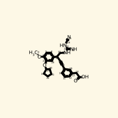 COc1ccc(C(C#Cc2cccc(CC(=O)O)c2)CNC(=N)NC#N)cc1OC1CCCC1